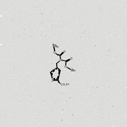 CCOC(=O)c1cc(CN(C(=O)OC(C)(C)C)C(=O)OC(C)(C)C)cs1